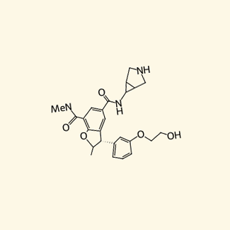 CNC(=O)c1cc(C(=O)NC2C3CNCC32)cc2c1OC(C)[C@H]2c1cccc(OCCO)c1